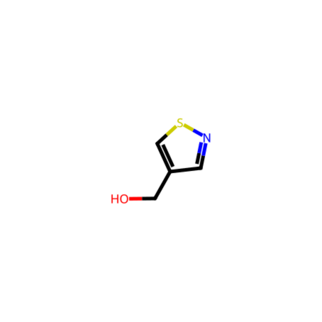 OCc1cnsc1